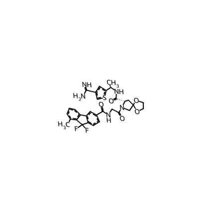 Cc1cccc2c1C(F)(F)c1ccc(C(=O)NCC(=O)N3CC4(C[C@H]3C(=O)N[C@H](C)c3cc(C(=N)N)cs3)OCCO4)cc1-2